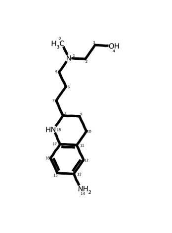 CN(CCO)CCCC1CCc2cc(N)ccc2N1